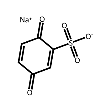 O=C1C=CC(=O)C(S(=O)(=O)[O-])=C1.[Na+]